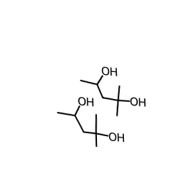 CC(O)CC(C)(C)O.CC(O)CC(C)(C)O